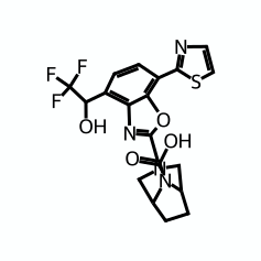 O=C(O)N1C2CCC1CN(c1nc3c(C(O)C(F)(F)F)ccc(-c4nccs4)c3o1)C2